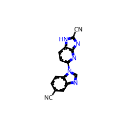 N#Cc1ccc2c(c1)ncn2-c1ccc2[nH]c(C#N)nc2n1